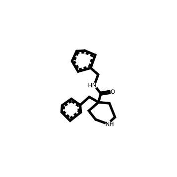 O=C(NCc1ccccc1)C1(Cc2ccccc2)CCNCC1